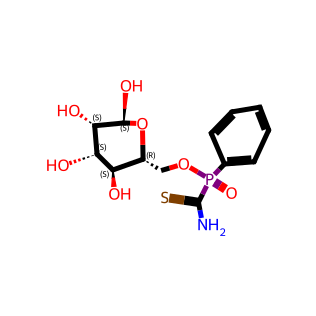 NC(=S)P(=O)(OC[C@H]1O[C@H](O)[C@@H](O)[C@@H](O)[C@@H]1O)c1ccccc1